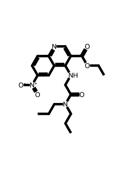 CCCN(CCC)C(=O)CNc1c(C(=O)OCC)cnc2ccc([N+](=O)[O-])cc12